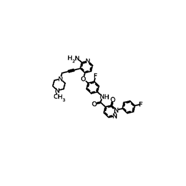 CN1CCN(CC#Cc2c(Oc3ccc(NC(=O)c4ccnn(-c5ccc(F)cc5)c4=O)cc3F)ccnc2N)CC1